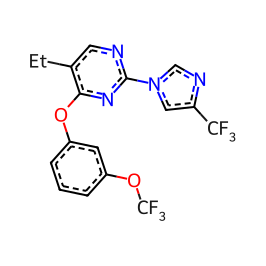 CCc1cnc(-n2cnc(C(F)(F)F)c2)nc1Oc1cccc(OC(F)(F)F)c1